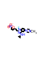 CN1CCN(c2ccc3c(c2)C(NC2CC2)=NC(C=Cc2ccc([N+](=O)[O-])o2)N3F)CC1